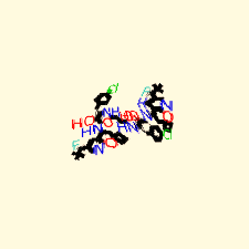 CC(C)(C)[C@H](F)c1cnc2c(c1)[C@@H](NC[C@H](O)[C@H](Cc1ccc(Cl)cc1)NC(=O)CCC(=O)N[C@@H](Cc1ccc(Cl)cc1)[C@@H](O)CN[C@H]1CC3(CCC3)Oc3ncc([C@H](F)C(C)(C)C)cc31)CC1(CCC1)O2